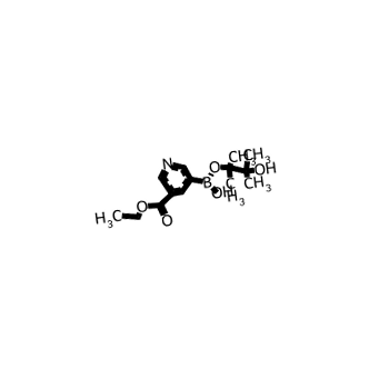 CCOC(=O)c1cncc(B(O)OC(C)(C)C(C)(C)O)c1